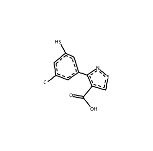 O=C(O)c1csnc1-c1cc(S)cc(Cl)c1